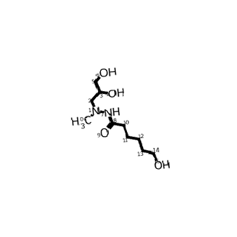 CN(CC(O)CO)NC(=O)CCCCCO